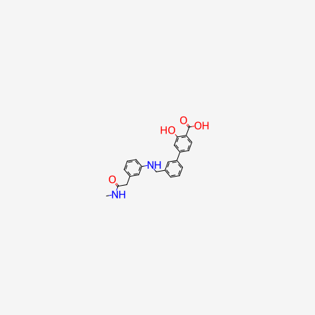 CNC(=O)Cc1cccc(NCc2cccc(-c3ccc(C(=O)O)c(O)c3)c2)c1